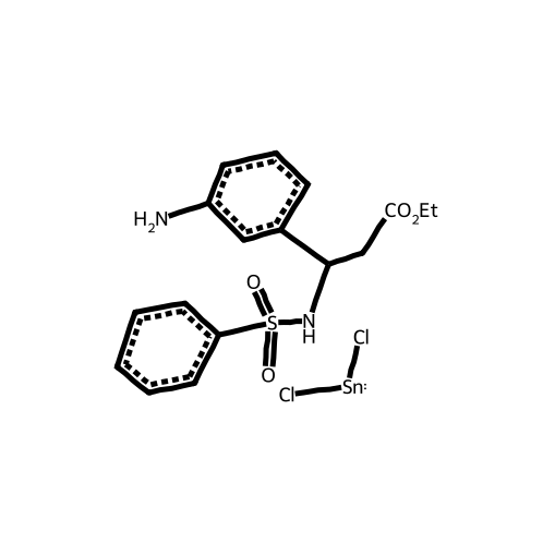 CCOC(=O)CC(NS(=O)(=O)c1ccccc1)c1cccc(N)c1.[Cl][Sn][Cl]